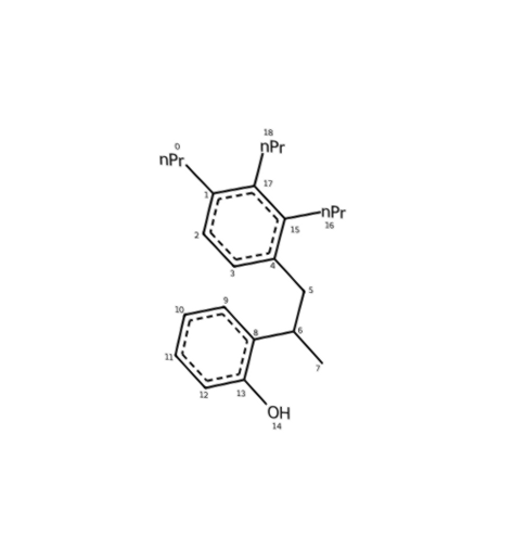 CCCc1ccc(CC(C)c2ccccc2O)c(CCC)c1CCC